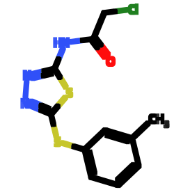 Cc1cccc(Sc2nnc(NC(=O)CCl)s2)c1